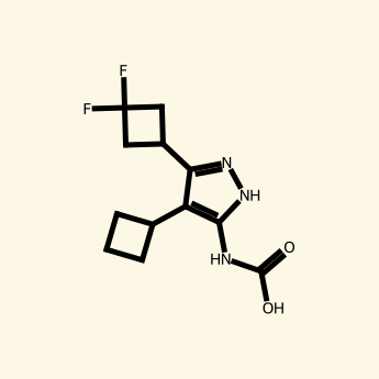 O=C(O)Nc1[nH]nc(C2CC(F)(F)C2)c1C1CCC1